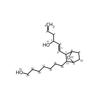 C=CCC(O)/C=C/C1C2CCC(O2)C1CCCCCCCO